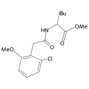 CCC(C)C(NC(=O)Cc1c(Cl)cccc1OC)C(=O)OC